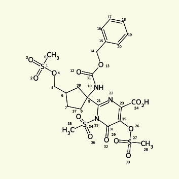 CS(=O)(=O)OCC1CCC(NC(=O)OCc2ccccc2)(c2nc(C(=O)O)c(OS(C)(=O)=O)c(=O)n2S(C)(=O)=O)C1